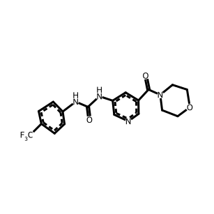 O=C(Nc1ccc(C(F)(F)F)cc1)Nc1cncc(C(=O)N2CCOCC2)c1